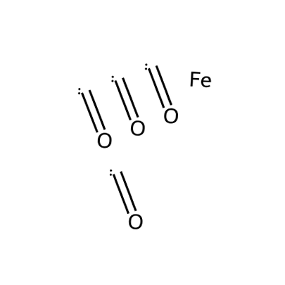 [C]=O.[C]=O.[C]=O.[C]=O.[Fe]